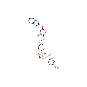 Cc1ccc(S(=O)(=O)N=[SH](C)(O)C2CCC(COc3coc(CN4Cc5ccccc5C4)cc3=O)CC2)cc1